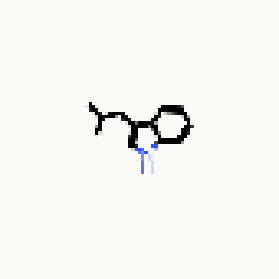 CC(C)CC1=CNC2C=CC=CC12